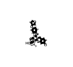 CC(C)(O)Cn1c(=O)[nH]/c(=N\c2ccc(OC3CCOC3)cc2)n(Cc2ccc(Cl)cc2)c1=O